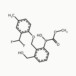 COC(=O)N(O)c1cccc(CO)c1COc1ccc(C)cc1C(F)F